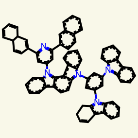 C1=CC2C=CC(c3cc(-n4c5ccccc5c5ccc6c(c7ccccc7n6-c6cc(-n7c8c(c9ccccc97)C=CCC8)cc(-n7c8ccccc8c8ccccc87)c6)c54)cc(-c4ccc5ccccc5c4)n3)=CC2C=C1